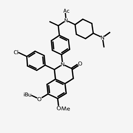 CCC(C)Oc1cc2c(cc1OC)CC(=O)N(c1ccc(C(C)N(C(C)=O)C3CCC(N(C)C)CC3)cc1)C2c1ccc(Cl)cc1